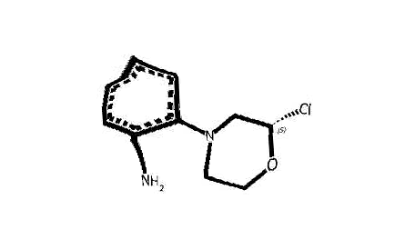 Nc1ccccc1N1CCO[C@@H](Cl)C1